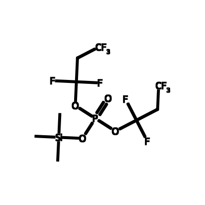 C[Si](C)(C)OP(=O)(OC(F)(F)CC(F)(F)F)OC(F)(F)CC(F)(F)F